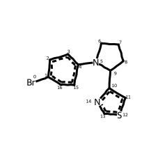 Brc1ccc(N2CCCC2c2cscn2)cc1